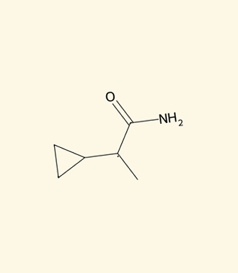 C[C](C(N)=O)C1CC1